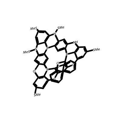 CSc1cc2c3c(c1)Oc1c(oc4ccccc14)B3c1cc3c(cc1N2)N(SC)c1cc(SC)cc2c1B3c1cc3c(cc1N2SC)Oc1cc(SC)cc2c1B3c1oc3ccccc3c1O2